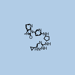 Cn1c(=O)n(-c2ccc(N[C@H]3CC[C@H](NC4=NC=C(C5CC5)NN4)C3)nc2)c2ncccc21